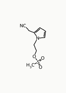 CS(=O)(=O)OCCn1cccc1CC#N